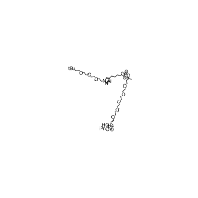 CC(C)OP(=O)(O)OCCOCCOCCOCCOCCOCCC(C)OP(=O)(O)OCCCCc1cn(CCOCCOCCOCCC(C)(C)C)nn1